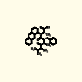 CC(C)[C@H](N)C(=O)N(C)[C@@H](Cc1ccccc1)C(=O)N(c1cccc2cc3ccccc3cc12)[C@@H](C)C(=O)O